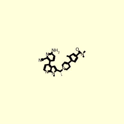 Cc1cc(C(=O)N(C)C)ccc1C1=CCN([C@H](C)c2cc3c(-c4ccc(N)nc4C#N)ccnc3n2C)CC1